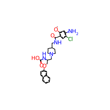 COc1cc(N)c(Cl)cc1C(=O)NCC1CCN(CC(COc2ccc3ccccc3c2)NC(=O)O)CC1